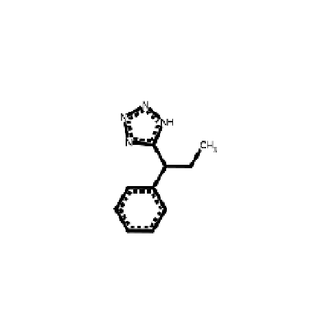 CC[C](c1ccccc1)c1nnn[nH]1